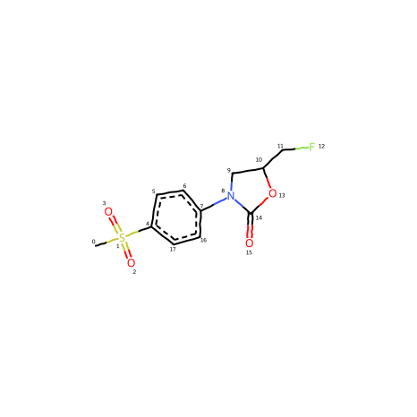 CS(=O)(=O)c1ccc(N2CC(CF)OC2=O)cc1